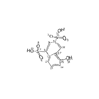 O=S(=O)(O)c1cc(S(=O)(=O)O)c2cccc(O)c2c1